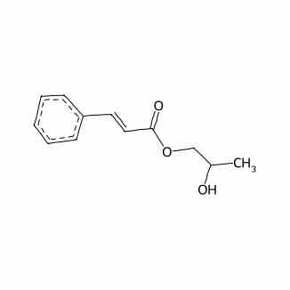 CC(O)COC(=O)C=Cc1ccccc1